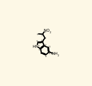 CC(Cc1c[nH]c2ccc(N)cc12)[N+](=O)[O-]